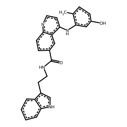 Cc1ccc(O)cc1Nc1ccnc2ccc(C(=O)NCCc3c[nH]c4ccccc34)cc12